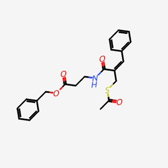 CC(=O)SC/C(=C/c1ccccc1)C(=O)NCCC(=O)OCc1ccccc1